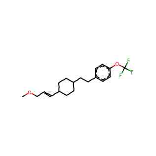 COC/C=C/C1CCC(CCc2ccc(OC(F)(F)F)cc2)CC1